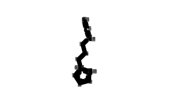 S=C=NCCCn1cccn1